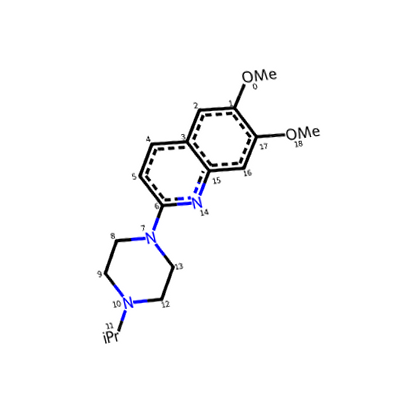 COc1cc2ccc(N3CCN(C(C)C)CC3)nc2cc1OC